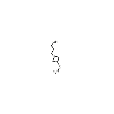 NSC1CN(CCCO)C1